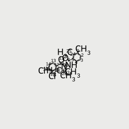 Cc1cccc(C(=O)NN(C(=O)c2ccc(Cl)c(Cl)c2)C(C)(C)C)c1C